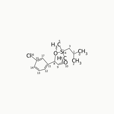 CC(C)C[Si](C)(C)OC(C=O)c1cccc(Cl)c1